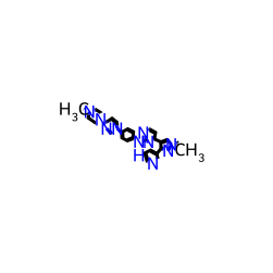 CCn1cc(-c2ccnc(Nc3ccc(N4C=CC(N5CCN(C)CC5)=NC4)cc3)n2)c(-c2cccnc2)n1